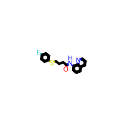 O=C(CCCSc1ccc(F)cc1)Nc1cccc2cccnc12